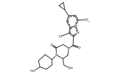 O=C(c1nn2c(C(F)(F)F)cc(C3CC3)cc2c1Cl)N1CC(=O)N(C2CCC(O)CC2)C(CO)C1